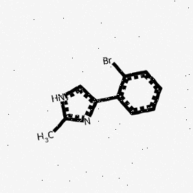 Cc1nc(-c2ccccc2Br)c[nH]1